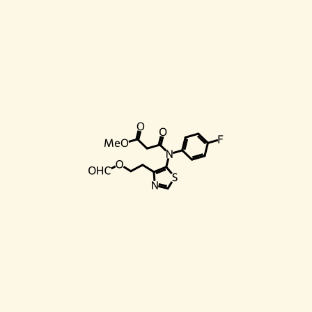 COC(=O)CC(=O)N(c1ccc(F)cc1)c1scnc1CCOC=O